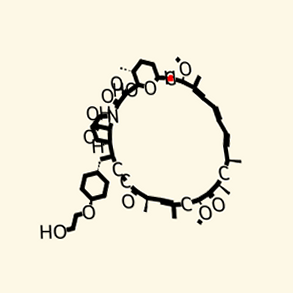 CO[C@H]1C[C@@H]2CC[C@@H](C)[C@@](O)(O2)C(=O)C(=O)N2CCC[C@H](C(C[C@H]3CC[C@H](OCCO)CC3)CCC(=O)[C@H](C)/C=C(\C)C[C@@H](OC)C(=O)[C@H](C)C[C@H](C)/C=C/C=C/C=C/1C)C2C(=O)O